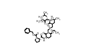 CCOP(=O)(CC(CC(C)C)C(=O)N[C@@H](CC(C)C)C(=O)NC)CN1C(=O)CC[C@H](NC(=O)[C@@H]2CCCN2C(=O)OCc2ccccc2)C1=O